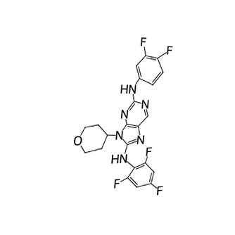 Fc1cc(F)c(Nc2nc3cnc(Nc4ccc(F)c(F)c4)nc3n2C2CCOCC2)c(F)c1